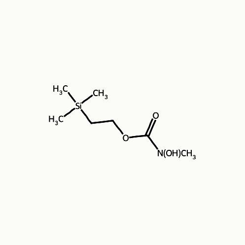 CN(O)C(=O)OCC[Si](C)(C)C